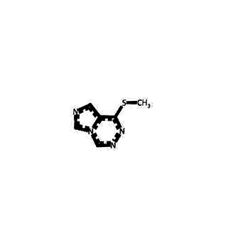 CSc1nncn2cncc12